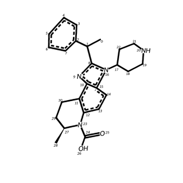 CC(c1ccccc1)c1nc2c3c(ccc2n1C1CCNCC1)N(C(=O)O)[C@@H](C)CC3